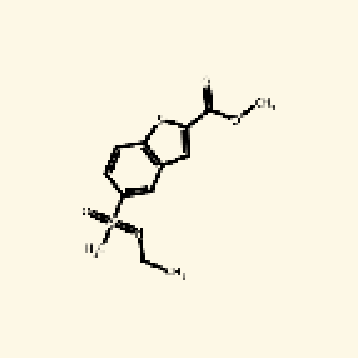 CCN=S(C)(=O)c1ccc2sc(C(=O)OC)cc2c1